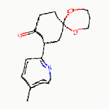 Cc1ccc(C2CC3(CCC2=O)OCCO3)nc1